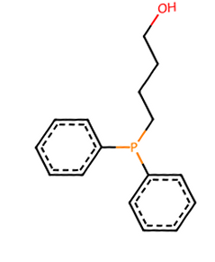 OCCCCP(c1ccccc1)c1ccccc1